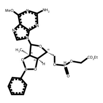 CCOC(=O)CO[PH](=O)OC[C@H]1OC(n2cnc3c(OC)nc(N)nc32)[C@]2(C)OB(c3ccccc3)O[C@H]12